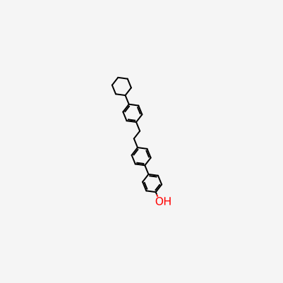 Oc1ccc(-c2ccc(CCc3ccc(C4CCCCC4)cc3)cc2)cc1